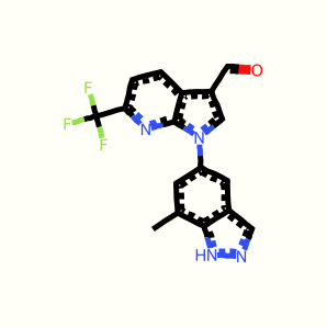 Cc1cc(-n2cc(C=O)c3ccc(C(F)(F)F)nc32)cc2cn[nH]c12